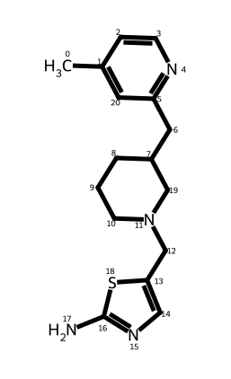 Cc1ccnc(CC2CCCN(Cc3cnc(N)s3)C2)c1